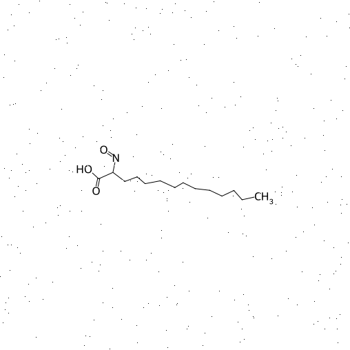 CCCCCCCCCCCCC(N=O)C(=O)O